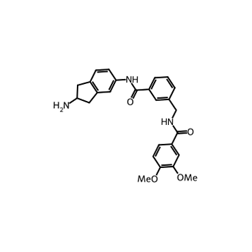 COc1ccc(C(=O)NCc2cccc(C(=O)Nc3ccc4c(c3)CC(N)C4)c2)cc1OC